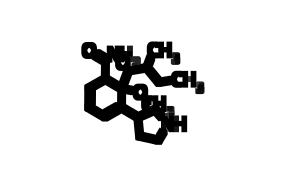 CCC(C)C(=O)C1(OC)C(C2CCNC2)=CC=CC1C(N)=O